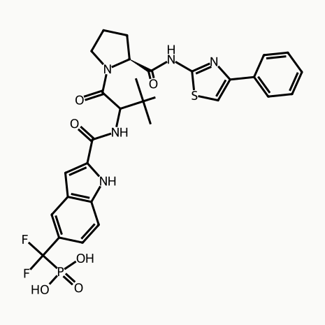 CC(C)(C)C(NC(=O)c1cc2cc(C(F)(F)P(=O)(O)O)ccc2[nH]1)C(=O)N1CCC[C@H]1C(=O)Nc1nc(-c2ccccc2)cs1